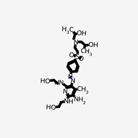 Cc1c(N)c(NCCO)nc(NCCO)c1/N=N/c1ccc(S(=O)(=O)CCN(CC(C)O)CC(C)O)cc1